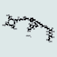 O=C(O)CC[C@H](NC(=O)N[C@@H](CCCCNC(=O)CCCCCN(Cc1ccc(OCc2cn(CCCNC(=O)CN3CCN(CC(=O)O)CCN(CC(=O)O)CCN(CC(=O)O)CC3)nn2)cc1)Cc1nccn1CC(=O)N(CC(=O)O)CC(=O)O)C(=O)O)C(=O)O.[InH3]